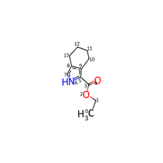 CCOC(=O)c1[nH]cc2c1CCCC2